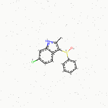 Cc1[nH]c2cc(Cl)ccc2c1[S+]([O-])c1ccccc1